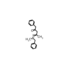 CC(CC(=O)Cc1ccccc1)=NN(C)Cc1ccccc1